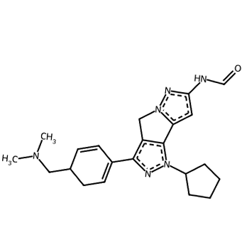 CN(C)CC1C=CC(c2nn(C3CCCC3)c3c2Cn2nc(NC=O)cc2-3)=CC1